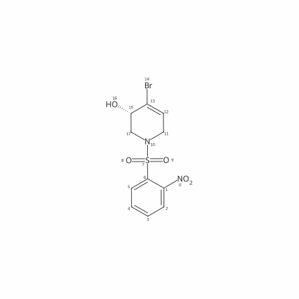 O=[N+]([O-])c1ccccc1S(=O)(=O)N1CC=C(Br)[C@@H](O)C1